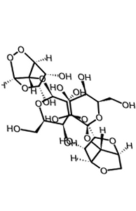 OC[C@H]1O[C@@H](O[C@@H]2[C@@H]3OO[C@H]2[C@H](O)[C@H](O)O3)[C@H](O)[C@@H](O[C@@H]2O[C@H]3CO[C@@H]([C@@H]2O)[C@@H]3O[C@@H]2O[C@H](CO)[C@H](O)[C@H](O)C2O)[C@H]1O